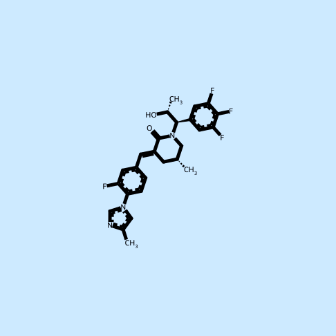 Cc1cn(-c2ccc(C=C3C[C@@H](C)CN([C@H](c4cc(F)c(F)c(F)c4)[C@@H](C)O)C3=O)cc2F)cn1